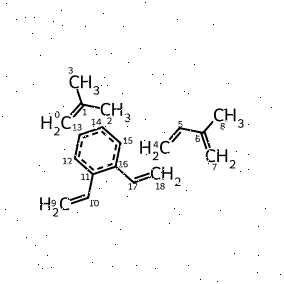 C=C(C)C.C=CC(=C)C.C=Cc1ccccc1C=C